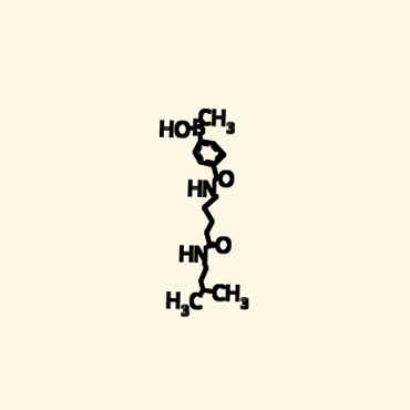 CB(O)c1ccc(C(=O)NCCCCC(=O)NCCC(C)C)cc1